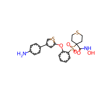 Nc1ccc(-c2csc(Oc3ccccc3S(=O)(=O)C3(C(=O)NO)CCSCC3)c2)cc1